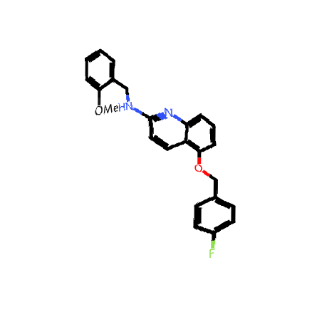 COc1ccccc1CNc1ccc2c(OCc3ccc(F)cc3)cccc2n1